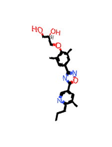 CCCc1ncc(-c2nc(-c3cc(C)c(OC[C@@H](O)CO)c(C)c3)no2)cc1C